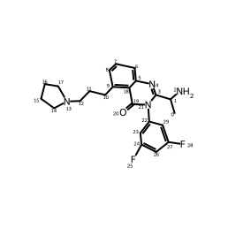 CC(N)c1nc2cccc(CCCN3CCCC3)c2c(=O)n1-c1cc(F)cc(F)c1